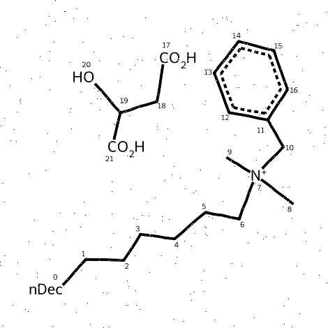 CCCCCCCCCCCCCCCC[N+](C)(C)Cc1ccccc1.O=C(O)CC(O)C(=O)O